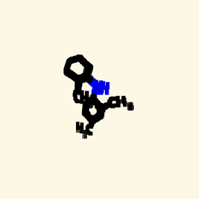 Cc1ccc(NC2CCCCC2C)c(C)c1